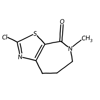 CN1CCCc2nc(Cl)sc2C1=O